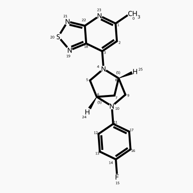 Cc1cc(N2C[C@@H]3C[C@H]2CN3c2ccc(F)cc2)c2nsnc2n1